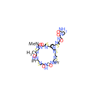 CNC(=O)CC1NC(=O)c2csc(n2)-c2ccc(-c3nc(C4=NC(C(=O)N5CCCC5C(N)=O)CO4)cs3)nc2-c2csc(n2)-c2csc(n2)C(C(C)C)NC(=O)CNC(=O)c2csc(n2)C(C(C)C)NC(=O)c2nc1sc2C